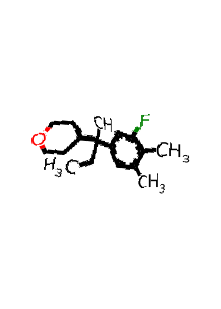 CCC(C)(c1cc(C)c(C)c(F)c1)C1CCOCC1